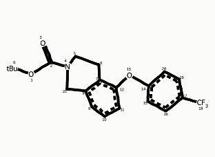 CC(C)(C)OC(=O)N1CCc2c(cccc2Oc2ccc(C(F)(F)F)cc2)C1